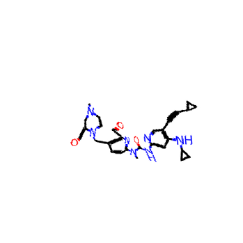 CN1CCN(Cc2ccc(N(C)C(=O)Nc3cc(NC4CC4)c(C#CC4CC4)cn3)nc2C=O)C(=C=O)C1